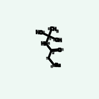 CCCCCC(=O)NC(C)(O)O